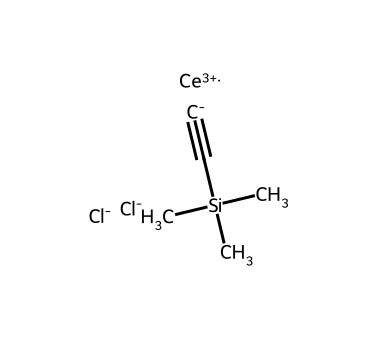 [C-]#C[Si](C)(C)C.[Ce+3].[Cl-].[Cl-]